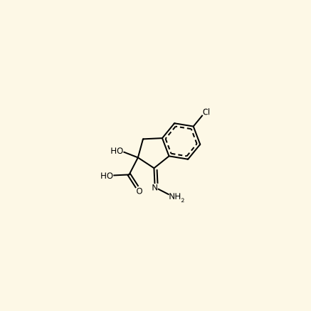 NN=C1c2ccc(Cl)cc2CC1(O)C(=O)O